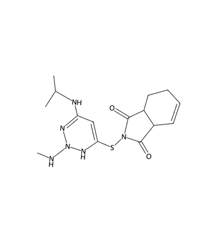 CNN1N=C(NC(C)C)C=C(SN2C(=O)C3C=CCCC3C2=O)N1